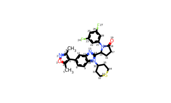 Cc1noc(C)c1-c1ccc2c(c1)nc(C1CCC(=O)N1c1cc(F)cc(F)c1)n2C1CCSCC1